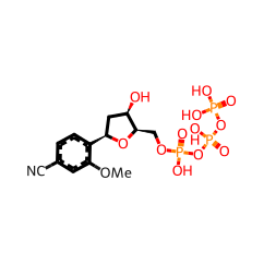 COc1cc(C#N)ccc1[C@H]1C[C@@H](O)[C@@H](COP(=O)(O)OP(=O)(O)OP(=O)(O)O)O1